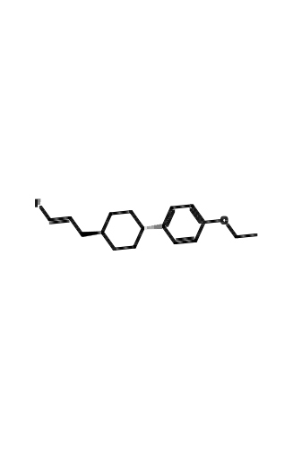 CCOc1ccc([C@H]2CC[C@H](C/C=C/F)CC2)cc1